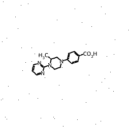 C[C@H]1CN(c2ccc(C(=O)O)cc2)CCN1c1ncccn1